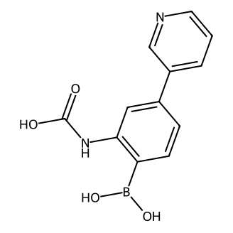 O=C(O)Nc1cc(-c2cccnc2)ccc1B(O)O